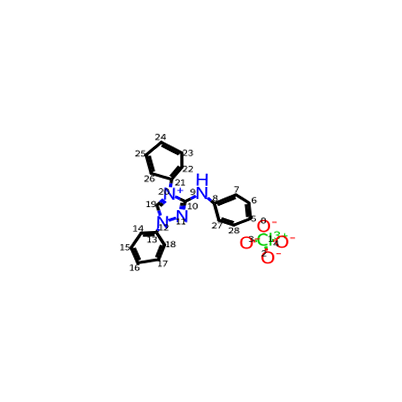 [O-][Cl+3]([O-])([O-])[O-].c1ccc(Nc2nn(-c3ccccc3)c[n+]2-c2ccccc2)cc1